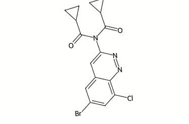 O=C(C1CC1)N(C(=O)C1CC1)c1cc2cc(Br)cc(Cl)c2nn1